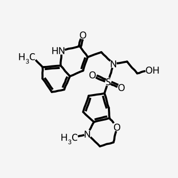 Cc1cccc2cc(CN(CCO)S(=O)(=O)c3ccc4c(c3)OCCN4C)c(=O)[nH]c12